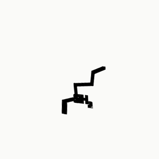 C=C[SiH2]CCCC